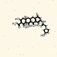 NC(=O)C1=C(O)C[C@@H]2CC3Cc4c(F)cc(NC(=O)CN5CC[C@@H](O)C5)c(O)c4C(=O)C3=C(O)[C@]2(O)C1=O